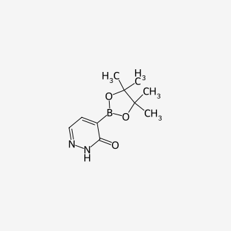 CC1(C)OB(c2ccn[nH]c2=O)OC1(C)C